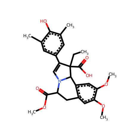 CCC1(C(=O)O)C(c2cc(C)c(O)c(C)c2)=CN2C(C(=O)OC)Cc3cc(OC)c(OC)cc3C21